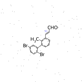 Cc1c(/C=C/[C]=O)cccc1-c1cc(Br)ccc1Br